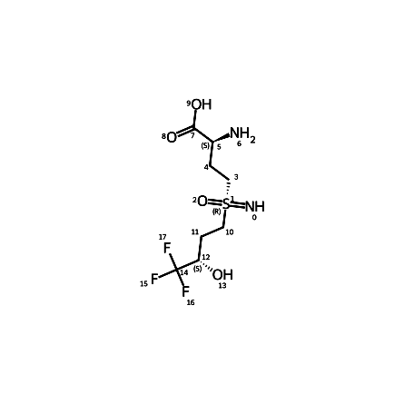 N=[S@@](=O)(CC[C@H](N)C(=O)O)CC[C@H](O)C(F)(F)F